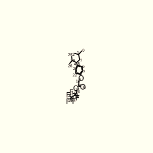 CC(C)CC(c1ccc(OCC(=O)OCC(F)(F)C(F)(F)F)cc1)C(C)C